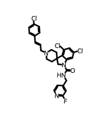 O=C(NCc1ccnc(F)c1)N1CC2(CCN(CC=Cc3ccc(Cl)cc3)CC2)c2c(Cl)cc(Cl)cc21